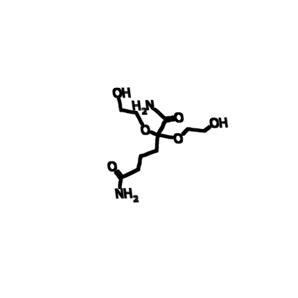 NC(=O)CCCC(OCCO)(OCCO)C(N)=O